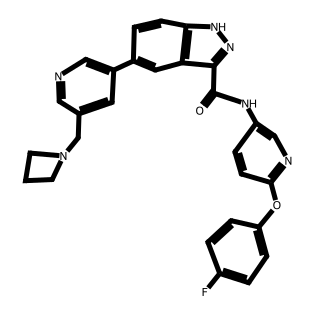 O=C(Nc1ccc(Oc2ccc(F)cc2)nc1)c1n[nH]c2ccc(-c3cncc(CN4CCC4)c3)cc12